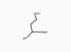 [CH2]C(C)C(CCCCCCC)CCCCCCCCCC